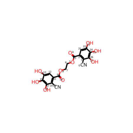 N#Cc1c(C(=O)OCCOC(=O)c2cc(O)c(O)c(O)c2C#N)cc(O)c(O)c1O